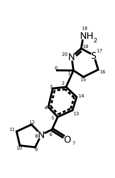 CC1(c2ccc(C(=O)N3CCCC3)cc2)CCSC(N)=N1